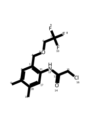 Cc1cc(COCC(F)(F)F)c(NC(=O)CCl)cc1C